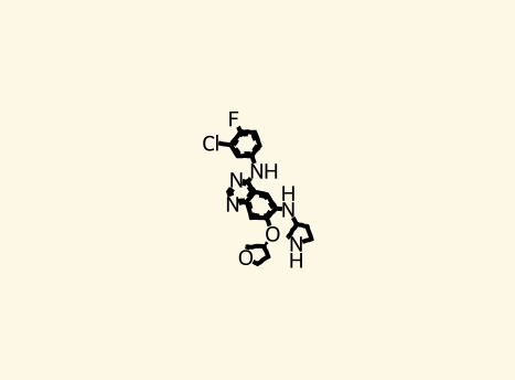 Fc1ccc(Nc2ncnc3cc(O[C@H]4CCOC4)c(NC4CCNC4)cc23)cc1Cl